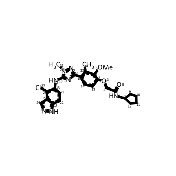 COc1c(OCC(=O)NC2CCCC2)ccc(-c2nc(Nc3ccc4[nH]ncc4c3Cl)n(C)n2)c1C